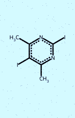 Cc1nc(I)nc(C)c1I